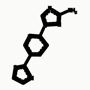 Nc1ncn(-c2[c]cc(-c3nccs3)cc2)n1